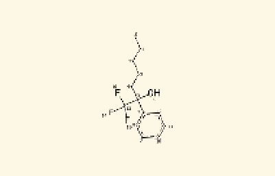 CCCCCC(O)(c1cc[c]cc1)C(F)(F)F